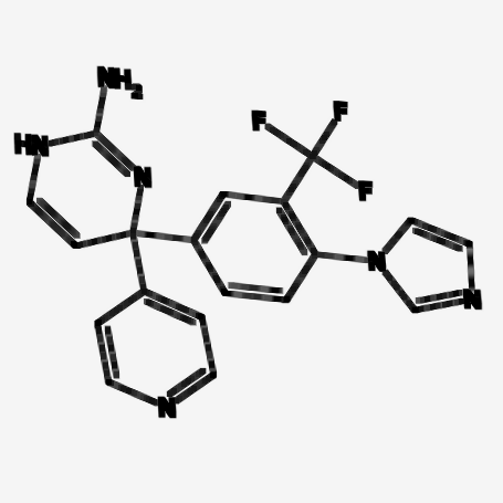 NC1=NC(c2ccncc2)(c2ccc(-n3ccnc3)c(C(F)(F)F)c2)C=CN1